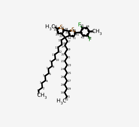 CCCCCCCCCCCCCCCCC1(CCCCCCCCCCCCCCCC)c2cc(C)sc2-c2sc(-c3cc(F)c(C)cc3F)cc21